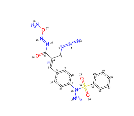 [N-]=[N+]=NC/C(=C\c1ccc(N(N)S(=O)(=O)c2ccccc2)cc1)C(=O)N=NON